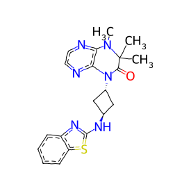 CN1c2nccnc2N([C@H]2C[C@H](Nc3nc4ccccc4s3)C2)C(=O)C1(C)C